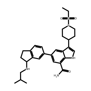 CCS(=O)(=O)N1CCC(c2c[nH]c3c(C(N)=O)cc(-c4ccc5c(c4)C(NCC(C)C)CC5)cc23)CC1